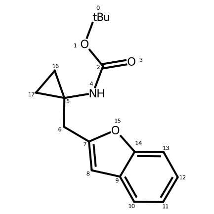 CC(C)(C)OC(=O)NC1(Cc2cc3ccccc3o2)CC1